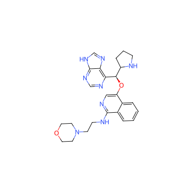 c1ccc2c(NCCN3CCOCC3)ncc(O[C@@H](c3ncnc4[nH]cnc34)C3CCCN3)c2c1